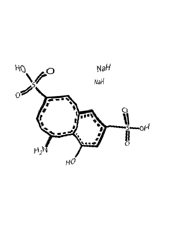 Nc1cc(S(=O)(=O)O)cc2cc(S(=O)(=O)O)cc(O)c12.[NaH].[NaH]